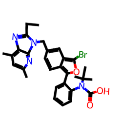 CCc1nc2c(C)cc(C)nc2n1Cc1ccc2c(-c3ccccc3N(C(=O)O)C(C)(C)C)oc(Br)c2c1